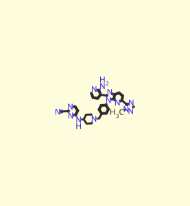 Cn1ncnc1-c1ccc2nc(-c3cccnc3N)n(-c3ccc(CN4CCC(Nc5ccnc(C#N)n5)CC4)cc3)c2n1